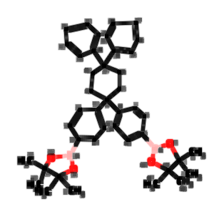 CC1(C)OB(c2ccc(C3(c4ccc(B5OC(C)(C)C(C)(C)O5)cc4)CCC(c4ccccc4)(c4ccccc4)CC3)cc2)OC1(C)C